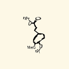 CCCOC(=O)CCc1ccc(OCCC)c(OC)c1